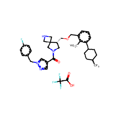 O=C(O)C(F)(F)F.O=C(O)c1c(COC[C@@H]2CN(C(=O)c3cnn(Cc4ccc(F)cc4)c3)CC23CNC3)cccc1C1CCC(C(F)(F)F)CC1